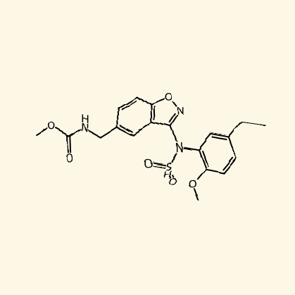 CCc1ccc(OC)c(N(c2noc3ccc(CNC(=O)OC)cc23)[SH](=O)=O)c1